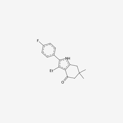 CCc1c(-c2ccc(F)cc2)[nH]c2c1C(=O)CC(C)(C)C2